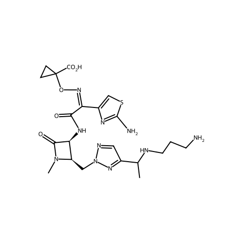 CC(NCCCN)c1cnn(C[C@@H]2[C@H](NC(=O)/C(=N\OC3(C(=O)O)CC3)c3csc(N)n3)C(=O)N2C)n1